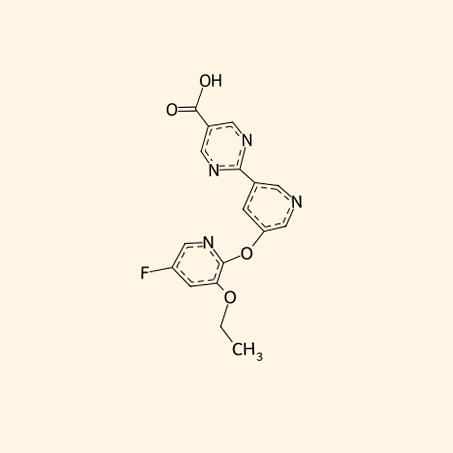 CCOc1cc(F)cnc1Oc1cncc(-c2ncc(C(=O)O)cn2)c1